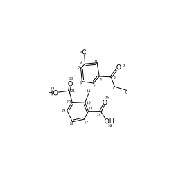 CCC(=O)c1cccc(Cl)c1.Cc1c(C(=O)O)cccc1C(=O)O